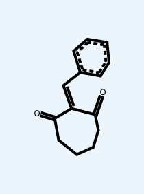 O=C1CCCCC(=O)C1=Cc1ccccc1